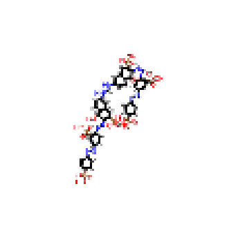 O=S(=O)(O)c1ccc(N=Nc2ccc(N=Nc3c(S(=O)(=O)O)cc4cc(NCNc5ccc6c(O)c(/N=N\c7ccc(N=Nc8ccc(S(=O)(=O)O)cc8)cc7S(=O)(=O)O)c(S(=O)(=O)O)cc6c5)ccc4c3O)c(S(=O)(=O)O)c2)cc1